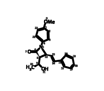 COc1ccc(N2C(=O)[C@@H]([C@H](C)O)[C@@H]2C=Cc2ccccc2)cc1